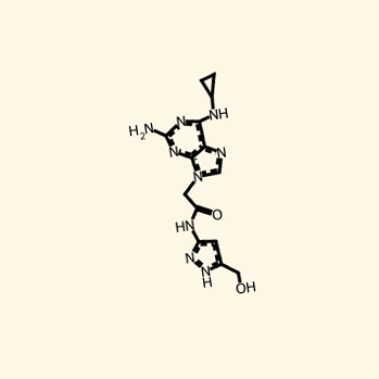 Nc1nc(NC2CC2)c2ncn(CC(=O)Nc3cc(CO)[nH]n3)c2n1